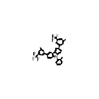 Cc1cc(-c2ccc3c(c2)c2cc(-c4cc(C)cc(C(F)(F)F)c4)ccc2n3-c2ccccc2C)cc(C(F)(F)F)c1